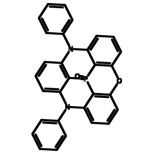 O=P12c3c4cccc3N(c3ccccc3)c3cccc(c31)N(c1ccccc1)c1cccc(c12)O4